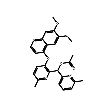 COc1cc2nccc(Oc3ccc(C)nc3C(OC(C)=O)c3cccc(C)n3)c2cc1OC